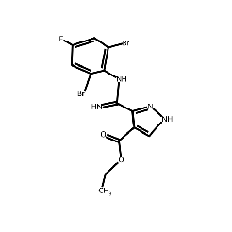 CCOC(=O)c1c[nH]nc1C(=N)Nc1c(Br)cc(F)cc1Br